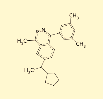 Cc1cc(C)cc(-c2ncc(C)c3cc(C(C)C4CCCC4)ccc23)c1